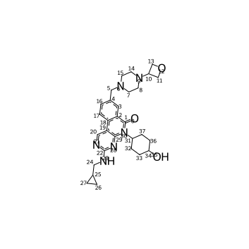 O=c1c2cc(CN3CCN(C4COC4)CC3)ccc2c2cnc(NCC3CC3)nc2n1C1CCC(O)CC1